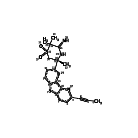 CC#Cc1ccc2sc3ccc([C@]4(C)CS(=O)(=O)C(C)(C)C(=N)N4)cc3c2n1